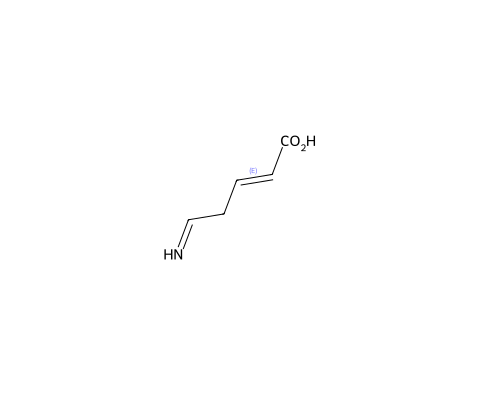 N=CC/C=C/C(=O)O